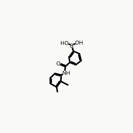 Cc1cccc(NC(=O)c2cccc(B(O)O)c2)c1C